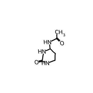 CC(=O)NC1CCNC(=O)N1